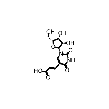 O=C(O)/C=C/c1cn([C@@H]2O[C@H](CO)[C@@H](O)[C@H]2O)c(=O)[nH]c1=O